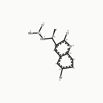 C[C@H](N[S+]([O-])C(C)(C)C)c1cc2cc(Br)ccc2nc1Cl